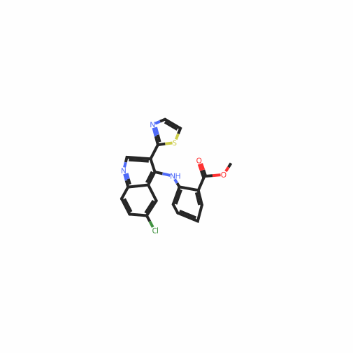 COC(=O)c1ccccc1Nc1c(-c2nccs2)cnc2ccc(Cl)cc12